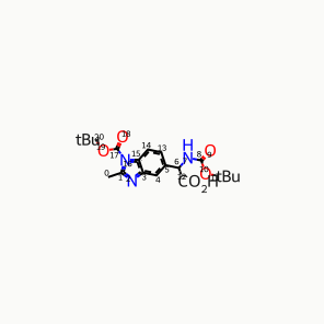 Cc1nc2cc(C(NC(=O)OC(C)(C)C)C(=O)O)ccc2n1C(=O)OC(C)(C)C